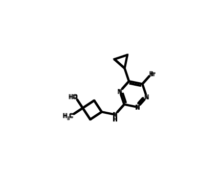 CC1(O)CC(Nc2nnc(Br)c(C3CC3)n2)C1